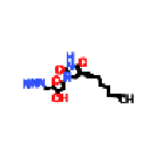 C#CCCCCC#Cc1cn([C@H]2CC(O)[C@@H](CN=[N+]=[N-])O2)c(=O)[nH]c1=O